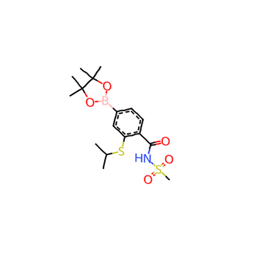 CC(C)Sc1cc(B2OC(C)(C)C(C)(C)O2)ccc1C(=O)NS(C)(=O)=O